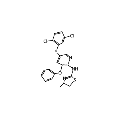 CC1CSC(Nc2ncc(Sc3cc(Cl)ccc3Cl)cc2Oc2ccccc2)=N1